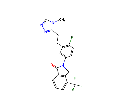 Cn1cnnc1CCc1cc(N2Cc3c(cccc3C(F)(F)F)C2=O)ccc1F